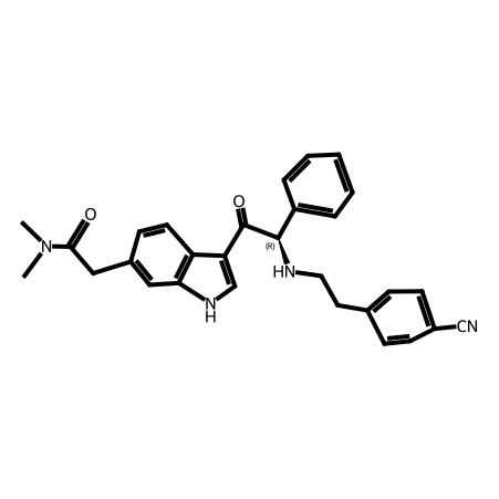 CN(C)C(=O)Cc1ccc2c(C(=O)[C@H](NCCc3ccc(C#N)cc3)c3ccccc3)c[nH]c2c1